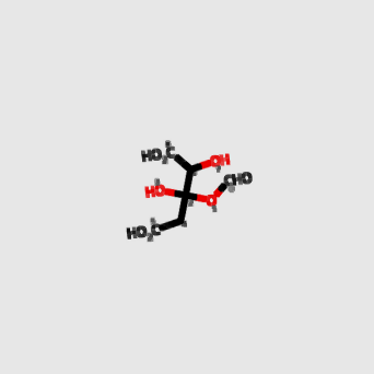 O=COC(O)(CC(=O)O)C(O)C(=O)O